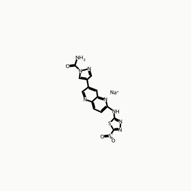 NC(=O)n1cc(-c2cnc3ccc(Nc4nnc([S-](=O)=O)s4)nc3c2)cn1.[Na+]